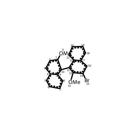 COc1ccc2ccccc2c1-c1c(OC)c(Br)cc2ccccc12